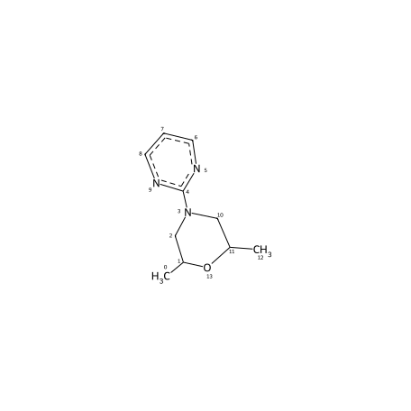 CC1CN(c2ncccn2)CC(C)O1